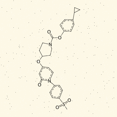 CS(=O)(=O)c1ccc(-n2ccc(OC3CCN(C(=O)Oc4ccc(C5CC5)cc4)CC3)cc2=O)cc1